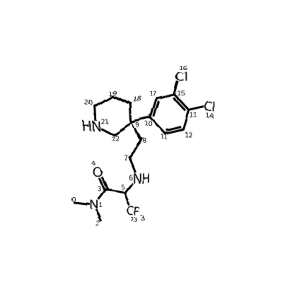 CN(C)C(=O)C(NCC[C@]1(c2ccc(Cl)c(Cl)c2)CCCNC1)C(F)(F)F